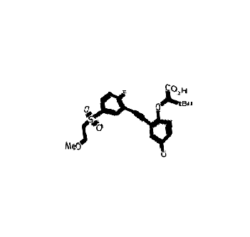 COCCS(=O)(=O)c1ccc(F)c(C#Cc2cc(Cl)ccc2OC(C(=O)O)C(C)(C)C)c1